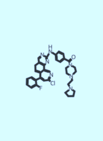 O=C(c1ccc(Nc2ncc3c(n2)C2=CN=C(Cl)C=C(c4ccccc4F)C2=CC3)cc1)N1CCN(CCN2CCCC2)CC1